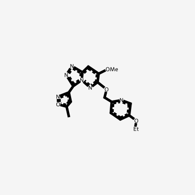 CCOc1ccc(COc2nn3c(-c4cc(C)on4)nnc3cc2OC)nc1